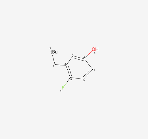 CC(C)(C)Cc1cc(O)ccc1F